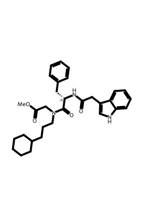 COC(=O)CN(CCCC1CCCCC1)C(=O)[C@H](Cc1ccccc1)NC(=O)Cc1c[nH]c2ccccc12